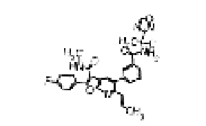 C/C=C/c1nc2oc(-c3ccc(F)cc3)c(C(=O)NC)c2cc1-c1cccc(C(=O)NC(C)(C)c2ncon2)c1